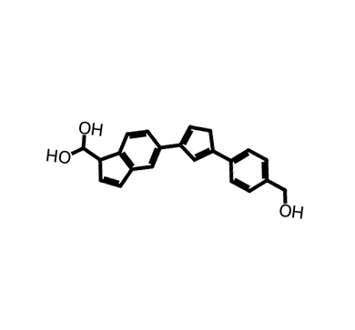 OCc1ccc(C2=CC(c3ccc4c(c3)C=CC4C(O)O)=CC2)cc1